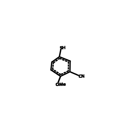 COc1ccc(S)cc1C#N